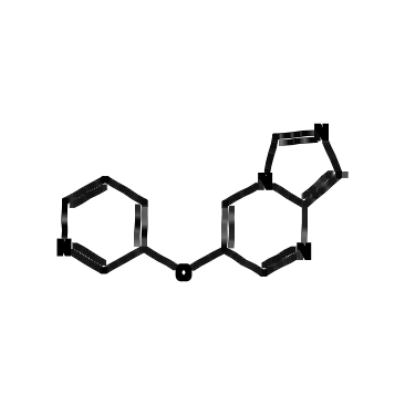 [c]1ncn2cc(Oc3cccnc3)cnc12